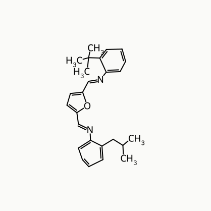 CC(C)Cc1ccccc1N=Cc1ccc(C=Nc2ccccc2C(C)(C)C)o1